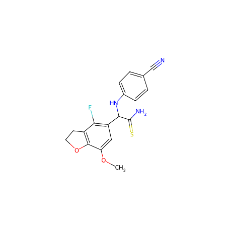 COc1cc(C(Nc2ccc(C#N)cc2)C(N)=S)c(F)c2c1OCC2